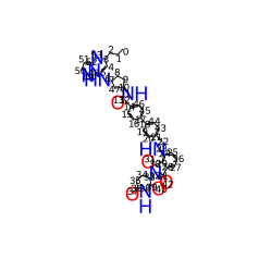 CCCc1cc(N[C@@H]2CCC(NC(=O)c3ccc(-c4ccc(CNc5cccc6c5C(=O)N(C5CCC(=O)NC5=O)C6=O)cc4)cc3)C2)n2nccc2n1